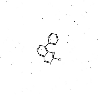 Clc1ncc2cccc(-c3ccccc3)c2n1